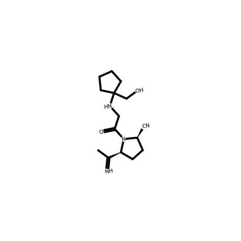 CC(=N)[C@@H]1CC[C@H](C#N)N1C(=O)CNC1(CO)CCCC1